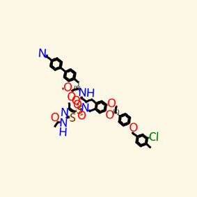 COC(=O)[C@H](Cc1ccc(-c2ccc(C#N)cc2)cc1)NC(=O)C1Cc2cc3c(cc2CN1S(=O)(=O)c1sc(NC(C)=O)nc1C)O[C@@H](c1ccc(OCc2ccc(C)c(Cl)c2)cc1)CO3